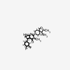 C[C@@H]1OCC2(CCN(c3nc4[nH]nc(-c5ccc(F)c(F)c5)c4c(=O)n3C)CC2)[C@@H]1N